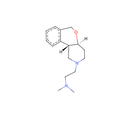 CN(C)CCN1CC[C@@H]2OCc3ccccc3[C@H]2C1